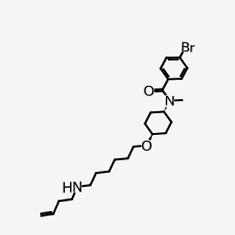 C=CCCNCCCCCCO[C@H]1CC[C@H](N(C)C(=O)c2ccc(Br)cc2)CC1